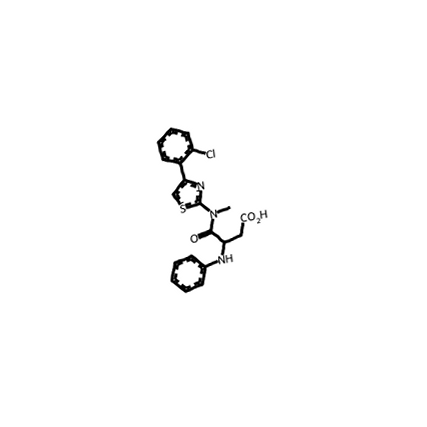 CN(C(=O)C(CC(=O)O)Nc1ccccc1)c1nc(-c2ccccc2Cl)cs1